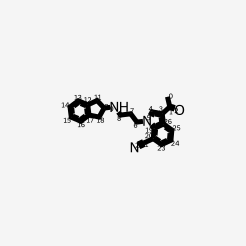 CC(=O)c1cn(CCCNC2Cc3ccccc3C2)c2c(C#N)cccc12